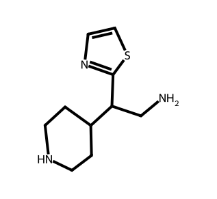 NCC(c1nccs1)C1CCNCC1